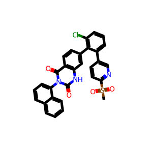 CS(=O)(=O)c1ccc(-c2cccc(Cl)c2-c2ccc3c(=O)n(-c4cccc5ccccc45)c(=O)[nH]c3c2)cn1